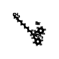 CCCCCCCCCCCC[N+](C)(Cc1ccccc1)Cc1ccccc1.[Br-]